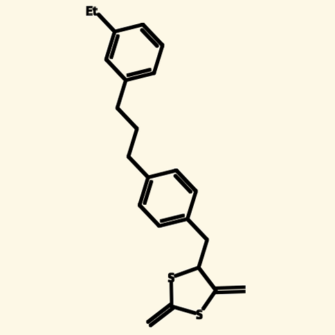 C=C1SC(=C)C(Cc2ccc(CCCc3cccc(CC)c3)cc2)S1